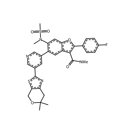 CNC(=O)c1c(-c2ccc(F)cc2)oc2cc(N(C)S(C)(=O)=O)c(-c3cncc(-c4nc5c(s4)COC(C)(C)C5)c3)cc12